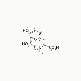 NC(Cc1ccc(O)cc1)C(=O)O.O=S(=O)(O)F